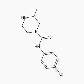 CC1CN(C(=S)Nc2ccc(Cl)cc2)CCN1